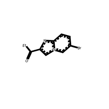 CCC(=O)c1cn2cc(Br)ccc2n1